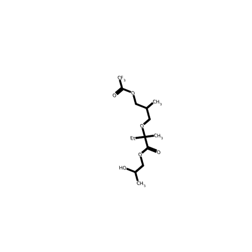 CCC(C)(OCC(C)COC(=O)C(F)(F)F)C(=O)OCC(C)O